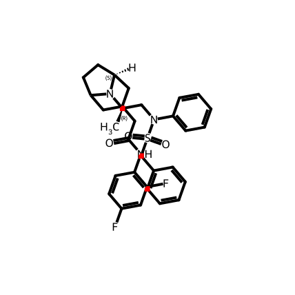 C[C@H](CN(c1ccccc1)S(=O)(=O)Cc1ccccc1)N1C2CC[C@H]1CC(CC(=O)Nc1ccc(F)cc1F)C2